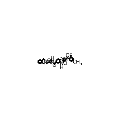 Cc1ccc(C(=O)N2CC3(C2)Oc2ccc(C(=O)NCC(O)CN4CCc5ccccc5C4)cc2NC3=O)c(F)c1